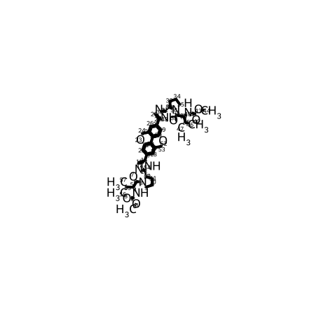 COC(=O)NC(C(=O)N1CCC[C@@H]1c1ncc(-c2cc3c4c(c2)OCc2cc(-c5cnc([C@H]6CCCN6C(=O)[C@@H](NC(=O)OC)C(C)C)[nH]5)cc(c2-4)OC3)[nH]1)C(C)C